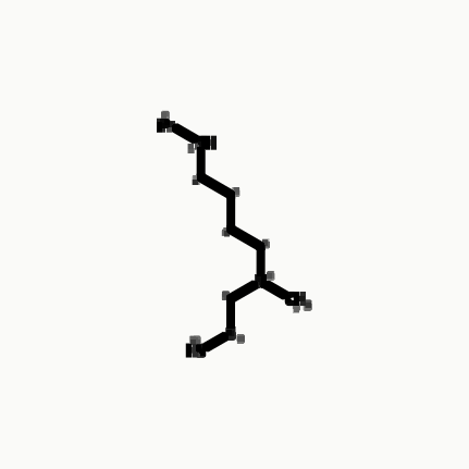 CC(C)NCCCCN(C)CSS